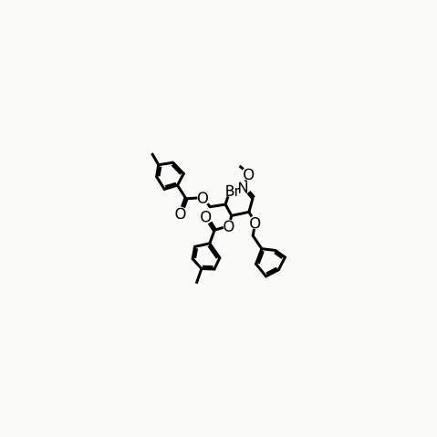 CON=CC(OCc1ccccc1)C(OC(=O)c1ccc(C)cc1)C(Br)COC(=O)c1ccc(C)cc1